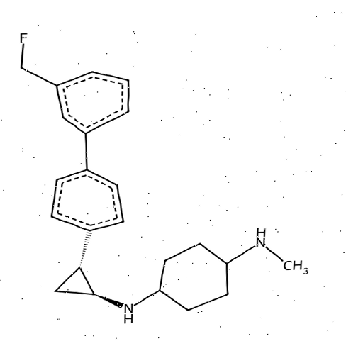 CNC1CCC(N[C@H]2C[C@@H]2c2ccc(-c3cccc(CF)c3)cc2)CC1